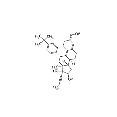 CC#C[C@]1(O)[C@H](O)C[C@H]2[C@@H]3CCC4=C/C(=N\O)CCC4=C3[C@@H](c3ccc(C(C)(C)C)cc3)C[C@@]21C